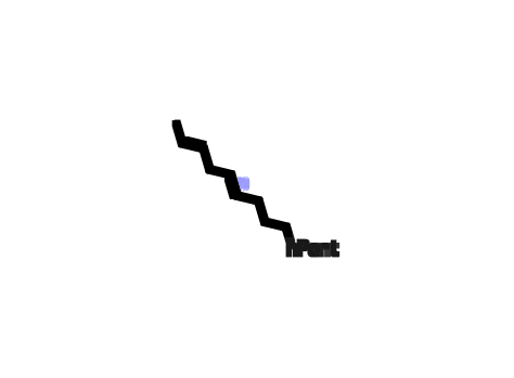 CC=CC/C=C/CCCCCCCC